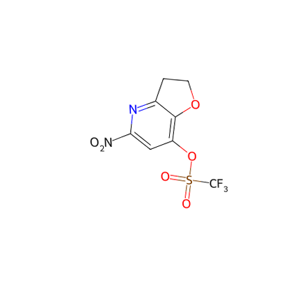 O=[N+]([O-])c1cc(OS(=O)(=O)C(F)(F)F)c2c(n1)CCO2